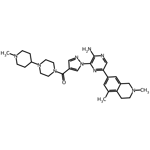 Cc1cc(-c2cnc(N)c(-n3cc(C(=O)N4CCN(C5CCN(C)CC5)CC4)cn3)n2)cc2c1CCN(C)C2